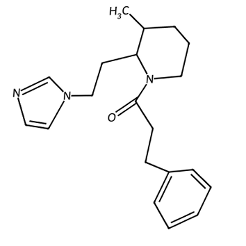 CC1CCCN(C(=O)CCc2ccccc2)C1CCn1ccnc1